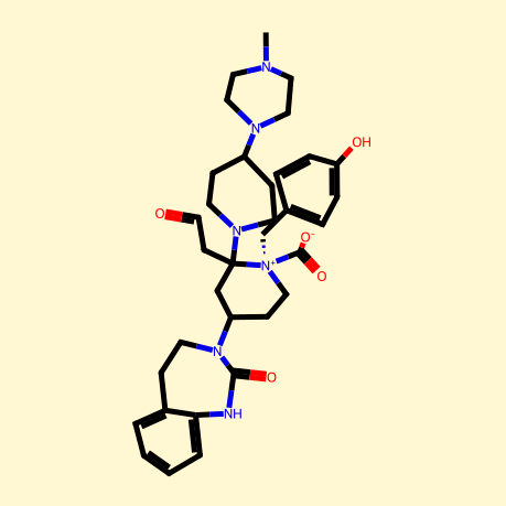 CN1CCN(C2CCN(C3(CC=O)CC(N4CCc5ccccc5NC4=O)CC[N@+]3(Cc3ccc(O)cc3)C(=O)[O-])CC2)CC1